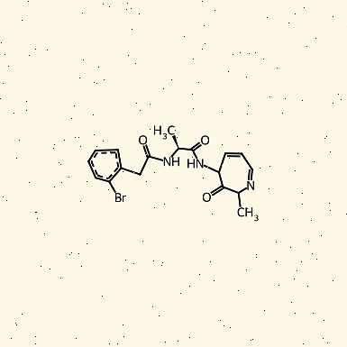 CC1N=CC=CC(NC(=O)[C@H](C)NC(=O)Cc2ccccc2Br)C1=O